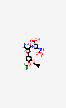 COC(=O)N[C@@H]1C[C@@H](C(=O)O)N(C(=O)c2nc(-c3ccc(OC(F)F)c(OCC4CC4)c3)oc2[C@H](C)N)C1